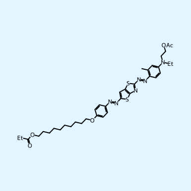 CCC(=O)OCCCCCCCCCCOc1ccc(N=Nc2cc3sc(N=Nc4ccc(N(CC)CCOC(C)=O)cc4C)nc3s2)cc1